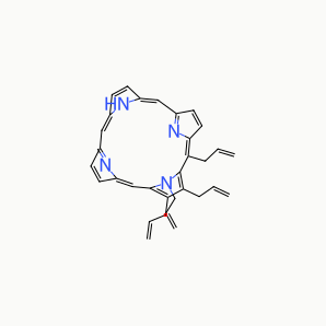 C=CCc1c(CC=C)c2c(CC=C)c3nc(cc4ccc(cc5nc(cc1n2CC=C)C=C5)[nH]4)C=C3